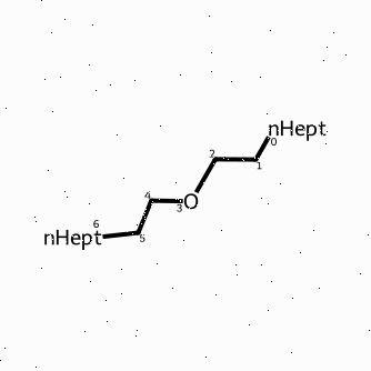 [CH2]CCCCCCCCOCCCCCCCCC